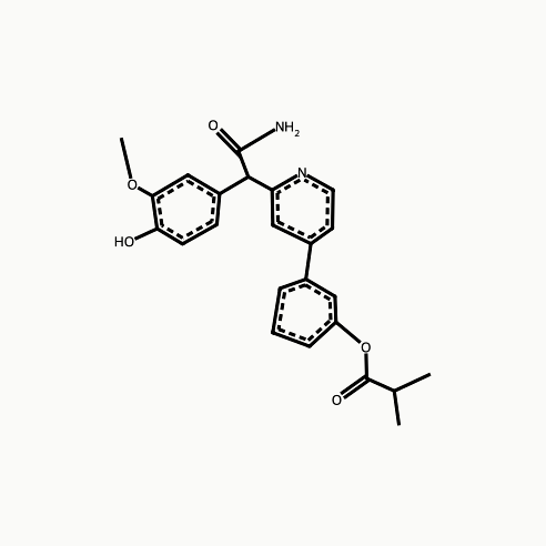 COc1cc(C(C(N)=O)c2cc(-c3cccc(OC(=O)C(C)C)c3)ccn2)ccc1O